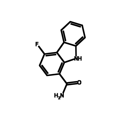 NC(=O)c1ccc(F)c2c1[nH]c1ccccc12